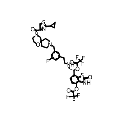 O=C(c1csc(C2CC2)n1)N1CCOC2(CCN(Cc3cc(F)cc(CCNC[C@H](OC(=O)C(F)(F)F)c4ccc(OC(=O)C(F)(F)F)c5[nH]c(=O)sc45)c3)CC2)C1